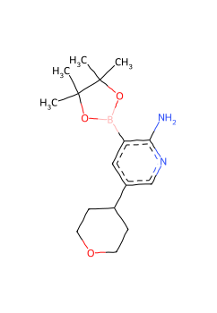 CC1(C)OB(c2cc(C3CCOCC3)cnc2N)OC1(C)C